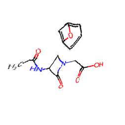 CC(=O)NC1CN(CC(=O)O)C1=O.c1cc2cc(c1)O2